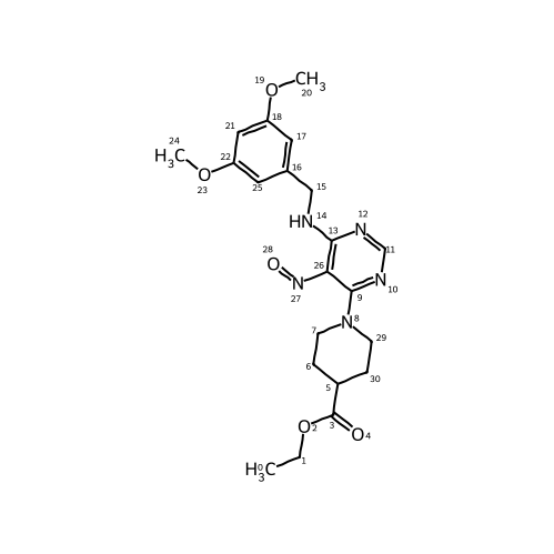 CCOC(=O)C1CCN(c2ncnc(NCc3cc(OC)cc(OC)c3)c2N=O)CC1